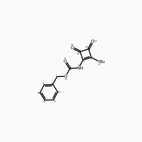 CC(C)(C)c1c(NC(=O)OCc2ccccc2)c(=O)c1=O